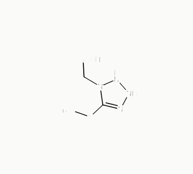 CCCSC1=NNNN1CS(=O)(=O)O